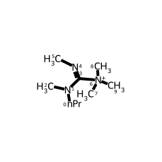 CCCN(C)/C(=N\C)[N+](C)(C)C